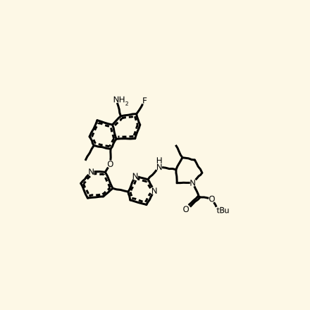 Cc1ccc2c(N)c(F)ccc2c1Oc1ncccc1-c1ccnc(NC2CN(C(=O)OC(C)(C)C)CCC2C)n1